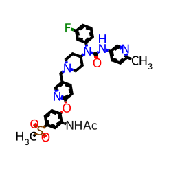 CC(=O)Nc1cc(S(C)(=O)=O)ccc1Oc1ccc(CN2CCC(N(C(=O)Nc3ccc(C)nc3)c3cccc(F)c3)CC2)cn1